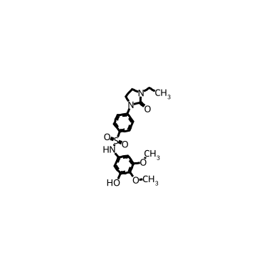 CCN1CCN(c2ccc(S(=O)(=O)Nc3cc(O)c(OC)c(OC)c3)cc2)C1=O